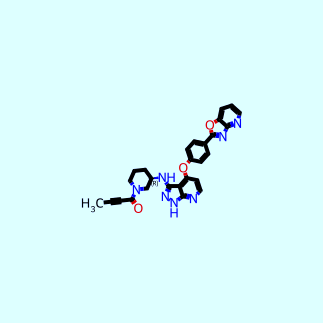 CC#CC(=O)N1CCC[C@@H](Nc2n[nH]c3nccc(Oc4ccc(-c5nc6ncccc6o5)cc4)c23)C1